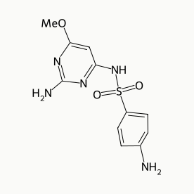 COc1cc(NS(=O)(=O)c2ccc(N)cc2)nc(N)n1